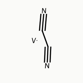 N#CC#N.[V]